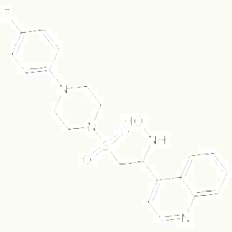 O=S(=O)(CC(NO)c1ccnc2ccccc12)N1CCN(c2ccc(F)cc2)CC1